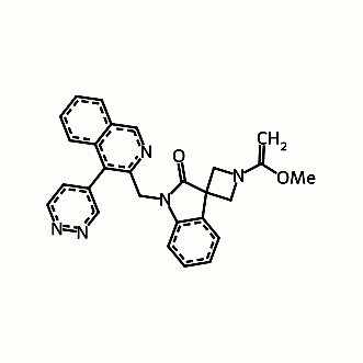 C=C(OC)N1CC2(C1)C(=O)N(Cc1ncc3ccccc3c1-c1ccnnc1)c1ccccc12